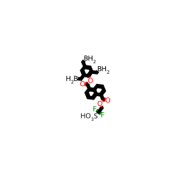 BCc1cc(CB)c(OC(=O)c2cccc3c(C(=O)OCC(F)(F)S(=O)(=O)O)cccc23)c(CB)c1